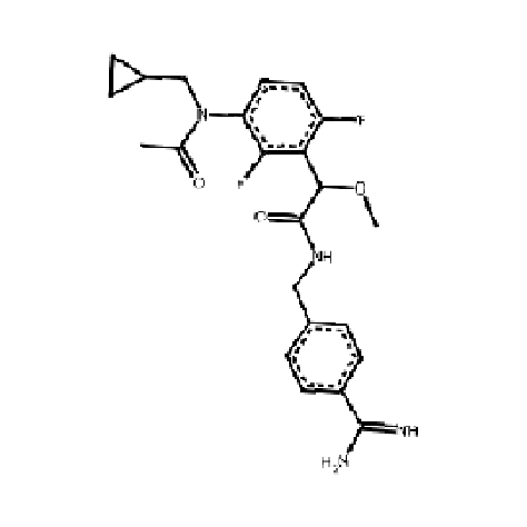 COC(C(=O)NCc1ccc(C(=N)N)cc1)c1c(F)ccc(N(CC2CC2)C(C)=O)c1F